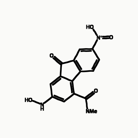 CNC(=O)c1cc(NO)cc2c1-c1ccc([N+](=O)O)cc1C2=O